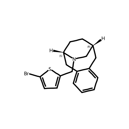 Brc1ccc(CN2C[C@@H]3CC[C@H]2Cc2ccccc2C3)s1